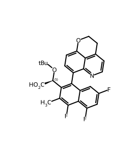 Cc1c([C@H](OC(C)(C)C)C(=O)O)c(-c2ccc3c4c(ccnc24)CCO3)c2cc(F)cc(F)c2c1F